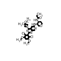 C=CC(=O)N[C@H]1CCOC[C@H]1Nc1cc2c(N3CC(C)(OC)C3)nc(-c3c(Cl)c(OC)cc(OC)c3Cl)nc2cn1